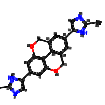 Cc1ncc(-c2cc3c4c(c2)OCc2cc(-c5cnc(C(C)C)[nH]5)cc(c2-4)CO3)[nH]1